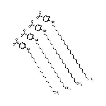 CCCCCCCCCCCCCCCCCCCCCCCCNc1ccc([N+](=O)[O-])cn1.CCCCCCCCCCCCCCCCCCCCCCNc1ccc([N+](=O)[O-])cn1.CCCCCCCCCCCCCCCCCCCCNc1ccc([N+](=O)[O-])cn1.CCCCCCCCCCCCCCCCCCNc1ccc([N+](=O)[O-])cn1